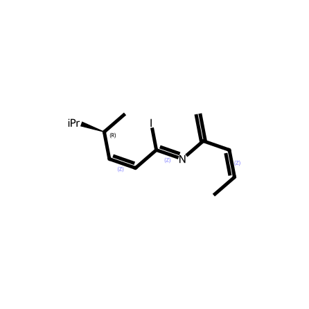 C=C(/C=C\C)/N=C(I)/C=C\[C@H](C)C(C)C